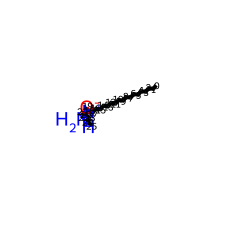 CCCCCCCCCCCCCCCCCC[NH+]([O-])C(C)(N)CCC